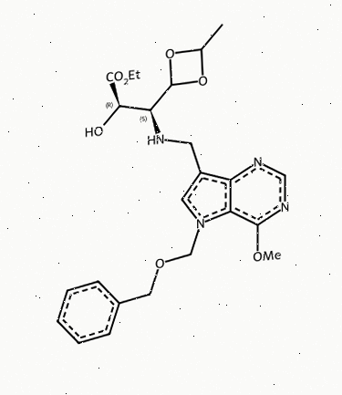 CCOC(=O)[C@H](O)[C@H](NCc1cn(COCc2ccccc2)c2c(OC)ncnc12)C1OC(C)O1